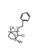 CC(C)[C@@]12CC[C@@](C)(O1)[C@@H](OCc1ccccc1)C2Cl